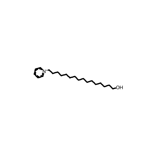 OCCCCCCCCCCCCCCCC[n+]1ccccc1